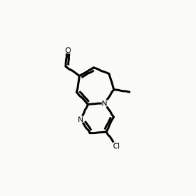 CC1CC=C(C=O)C=C2N=CC(Cl)=CN21